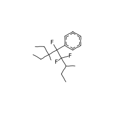 CCC(C)C(F)(F)C(F)(c1ccccc1)C(C)(CC)CC